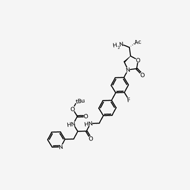 CC(=O)[C@@H](N)[C@@H]1CN(c2ccc(-c3ccc(CNC(=O)C(Cc4ccccn4)NC(=O)OC(C)(C)C)cc3)c(F)c2)C(=O)O1